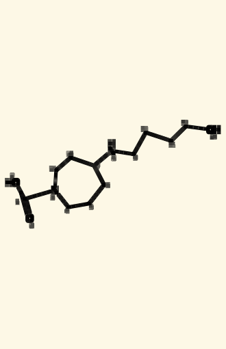 O=C(O)N1CCCC(NCCCCO)CC1